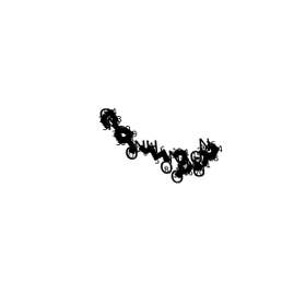 O=C(NCCCCC(=O)N1CCC2C1C(=O)CN2S(=O)(=O)Cc1cccnc1)c1ccc(N2CCOCC2)cc1